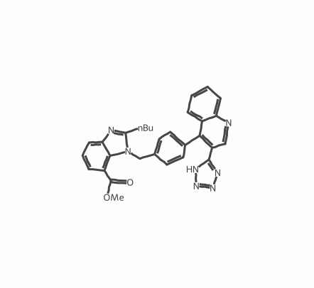 CCCCc1nc2cccc(C(=O)OC)c2n1Cc1ccc(-c2c(-c3nnn[nH]3)cnc3ccccc23)cc1